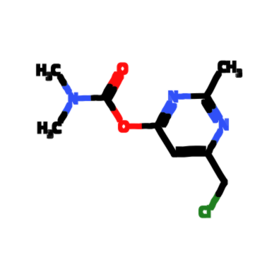 Cc1nc(CCl)cc(OC(=O)N(C)C)n1